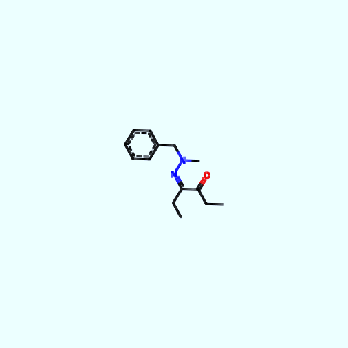 CCC(=O)C(CC)=NN(C)Cc1ccccc1